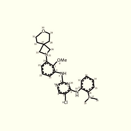 COc1c(Nc2ncc(Cl)c(Nc3ccccc3P(C)C)n2)cccc1N1CC2(CCOCC2)C1